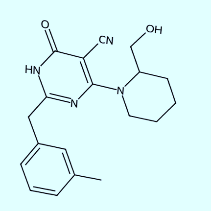 Cc1cccc(Cc2nc(N3CCCCC3CO)c(C#N)c(=O)[nH]2)c1